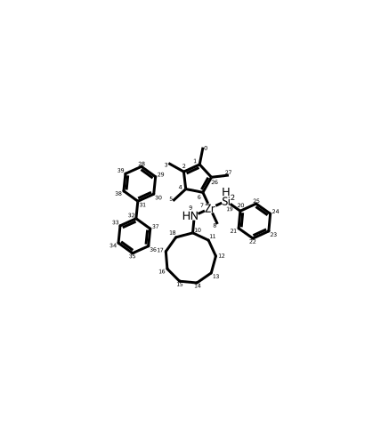 CC1=C(C)C(C)[C]([Zr]([CH3])([NH]C2CCCCCCCC2)[SiH2]c2ccccc2)=C1C.c1ccc(-c2ccccc2)cc1